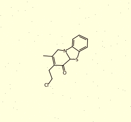 CC1=C(CCCl)C(=O)C2Sc3ccccc3N2C1